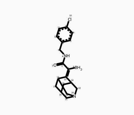 BC(C(=O)NCc1ccc(Cl)cc1)=C1C2CC3CC1CN(C3)C2